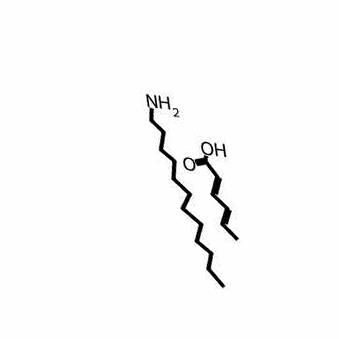 C/C=C/C=C/C(=O)O.CCCCCCCCCCCCN